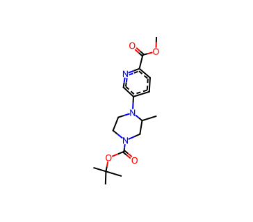 COC(=O)c1ccc(N2CCN(C(=O)OC(C)(C)C)CC2C)cn1